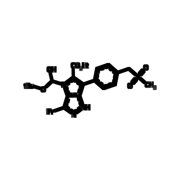 CCOC(=O)c1c(-c2ccc(CS(C)(=O)=O)cc2)c2[nH]nc(C(C)C)c2n1C(O)OC(C)(C)C